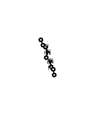 c1ccc(-c2ccc3cc(-c4nnc(-c5cccc(-c6nnc(-c7cnc8cc(-c9ccccc9)ccc8c7)o6)c5)o4)cnc3c2)cc1